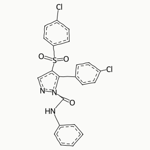 O=C(Nc1ccccc1)n1ncc(S(=O)(=O)c2ccc(Cl)cc2)c1-c1ccc(Cl)cc1